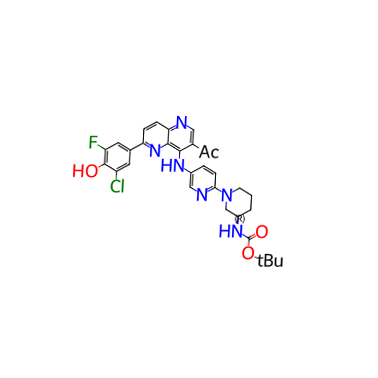 CC(=O)c1cnc2ccc(-c3cc(F)c(O)c(Cl)c3)nc2c1Nc1ccc(N2CCC[C@@H](NC(=O)OC(C)(C)C)C2)nc1